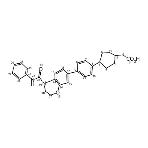 O=C(O)CC1CCC(c2ccc(-c3ccc4c(c3)OCCN4C(=O)Nc3ccccc3)cc2)CC1